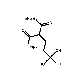 CCCCCCCC(=O)C(CCC(O)(O)O)C(=O)CCCCCCC